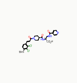 CSc1ccc(C=CC(=O)N2CCC(C(=O)N[C@@H](CNC(=O)c3ccncc3)C(=O)O)CC2)c(Cl)c1Cl